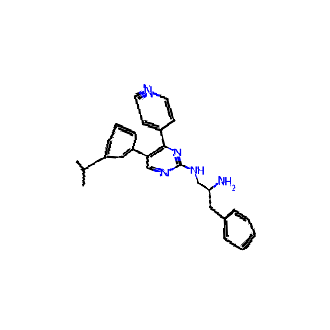 CC(C)c1cccc(-c2cnc(NCC(N)Cc3ccccc3)nc2-c2ccncc2)c1